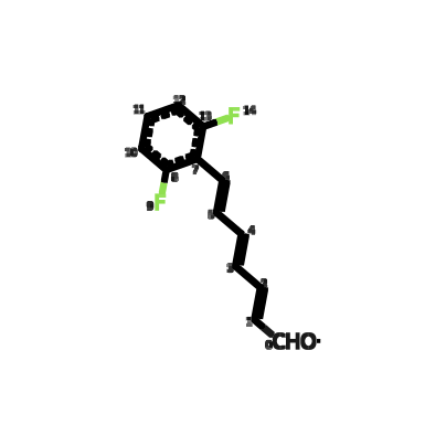 O=[C]/C=C/C=C/C=C/c1c(F)cccc1F